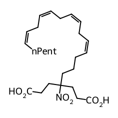 CCCCC/C=C\C/C=C\C/C=C\C/C=C\CCCC(CCC(=O)O)(CCC(=O)O)[N+](=O)[O-]